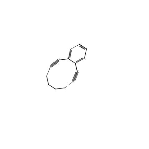 C1#Cc2ccccc2C#CCCCC1